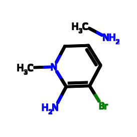 CN.CN1CC=CC(Br)=C1N